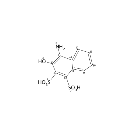 Nc1c(O)c(S(=O)(=O)O)c(S(=O)(=O)O)c2ccccc12